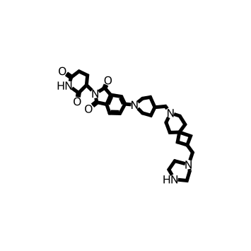 O=C1CCC(N2C(=O)c3ccc(N4CCC(CN5CCC6(CC5)CC(CN5CCNCC5)C6)CC4)cc3C2=O)C(=O)N1